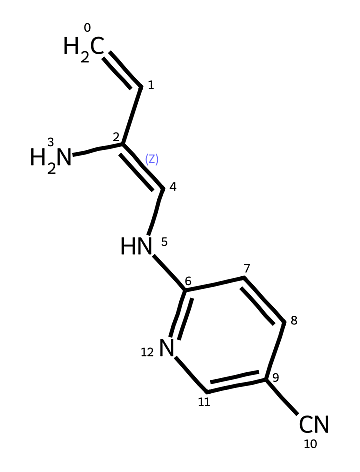 C=C/C(N)=C/Nc1ccc(C#N)cn1